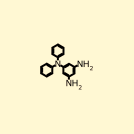 Nc1cc(N)cc(N(c2ccccc2)c2ccccc2)c1